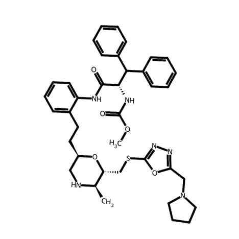 COC(=O)N[C@H](C(=O)Nc1ccccc1CC[C@@H]1CN[C@H](C)[C@@H](CSc2nnc(CN3CCCC3)o2)O1)C(c1ccccc1)c1ccccc1